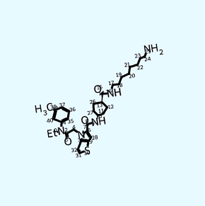 CCN(C(=O)Cn1c(C(=O)N[C@H]2CC[C@H](C(=O)NCCCCCCCCN)CC2)cc2sccc21)c1cccc(C)c1